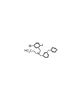 O=C(O)CCN(Cc1cccc(Cc2ccccc2)c1)Cc1cc(Br)ccc1F